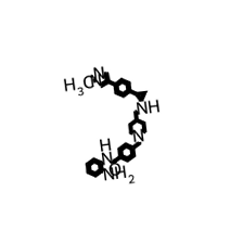 Cn1cc(-c2ccc(C3CC3NCC3CCN(Cc4ccc(C(=O)Nc5ccccc5N)cc4)CC3)cc2)cn1